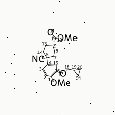 COc1ccc([C@]2(C#N)CC[C@@H](C(=O)OC)CC2)cc1OCC1CC1